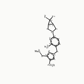 CCOC(=O)c1cn(Cc2ccc(N3CC4C(C3)C4(F)F)nc2C)nc1COC